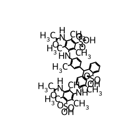 CC(=O)Nc1c(C)c(Nc2ccc(C(c3ccc(Nc4c(C)c(NC(C)=O)c(C)c(S(=O)(=O)O)c4C)c(C)c3)c3ccccc3S(=O)(=O)O)cc2C)c(C)c(S(=O)(=O)O)c1C